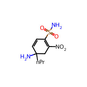 CCCC1(N)C=CC(S(N)(=O)=O)=C([N+](=O)[O-])C1